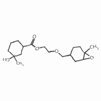 CC1(O)CCCC(C(=O)OCCOCC2CCC3(C)OC3C2)C1